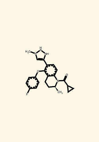 C[C@H]1CCc2c(ccc(C3=CN(C)NN3)c2Oc2ccc(F)cc2)N1C(=O)C1CC1